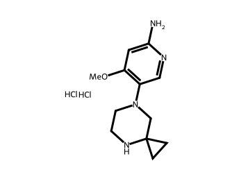 COc1cc(N)ncc1N1CCNC2(CC2)C1.Cl.Cl